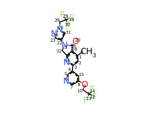 Cc1cc(-c2cncc(OCC(F)(F)F)c2)nc2c1C(=O)N(c1cnn(CC(F)(F)F)c1)C2